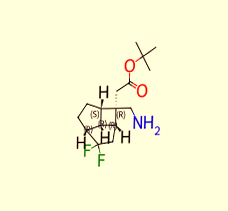 CC(C)(C)OC(=O)C[C@]1(CN)[C@@H]2CC(F)(F)[C@@H]3CC[C@H]1[C@@H]32